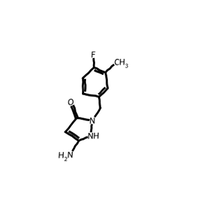 Cc1cc(Cn2[nH]c(N)cc2=O)ccc1F